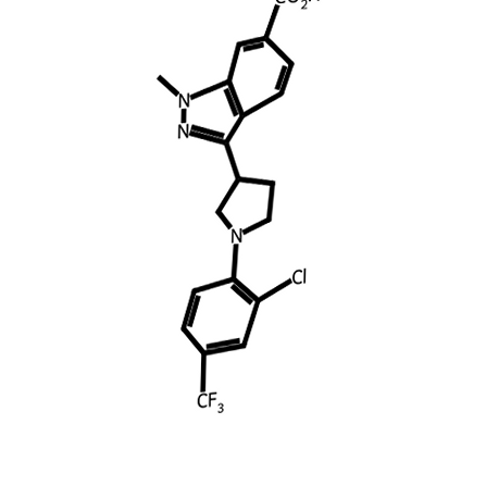 Cn1nc(C2CCN(c3ccc(C(F)(F)F)cc3Cl)C2)c2ccc(C(=O)O)cc21